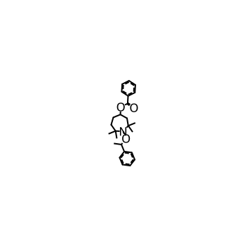 CC(ON1C(C)(C)CCC(OC(=O)c2ccccc2)CC1(C)C)c1ccccc1